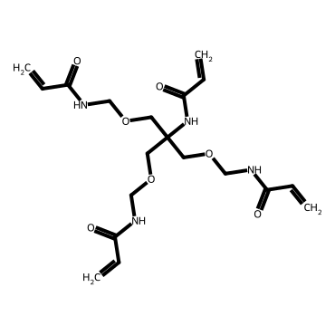 C=CC(=O)NCOCC(COCNC(=O)C=C)(COCNC(=O)C=C)NC(=O)C=C